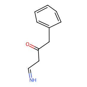 N=CCC(=O)Cc1ccccc1